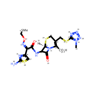 CSCO/N=C(\C(=O)NC1C(=O)N2C(C(=O)O)=C(CSc3nnnn3C)CS[C@H]12)c1csc(N)n1